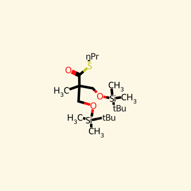 CCCSC(=O)C(C)(CO[Si](C)(C)C(C)(C)C)CO[Si](C)(C)C(C)(C)C